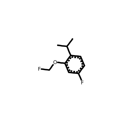 CC(C)c1ccc(F)cc1OCF